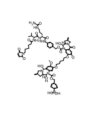 C=C1C[C@H]2C(O)N(C(=O)OCc3ccc(NC(=O)[C@H](CCCNC(N)=O)NC(=O)[C@@H](NC(=O)CCCCCN4C(=O)C=CC4=O)C(C)C)cc3)c3cc(OCCCCCOc4cc5c(cc4OC)C(O)N4CC(=C)C[C@H]4C(O)N5C(=O)OCc4ccc(B(O)O)cc4)c(OC)cc3C(=O)N2C1